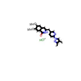 COc1cc2cc(Cc3ccc(-n4cc(C)c(C)n4)nc3)[nH]c(=O)c2cc1OC.Cl